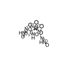 CNCOc1nc(-c2cccc(-c3cccc(-c4ccc(CN5CC6(CCC(=O)N6)C5)c(OCC#N)n4)c3Cl)c2Cl)ccc1CN1CC2(CCC(=O)N2)C1